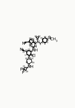 COc1ccc(CN(c2nc(Nc3cc(C#N)cc(N4CCC(NC5CC(F)(F)C5)CC4)c3Cl)nn3c(C#N)cnc23)C2CC2)cc1